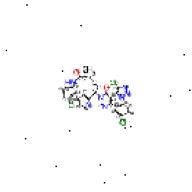 C[C@@H]1CCC[C@H](n2cnc(-c3cc(Cl)ccc3-n3cc(Cl)nn3)cc2=O)c2cc(ccn2)-c2c(Cl)cccc2NC1=O